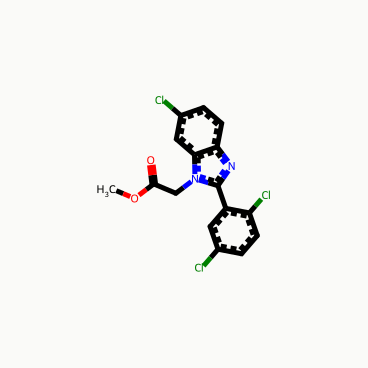 COC(=O)Cn1c(-c2cc(Cl)ccc2Cl)nc2ccc(Cl)cc21